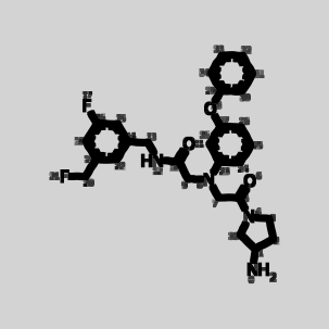 NC1CCN(C(=O)CN(CC(=O)NCc2cc(F)cc(CF)c2)c2cccc(Oc3ccccc3)c2)C1